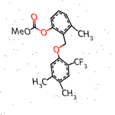 COC(=O)Oc1cccc(C)c1COc1cc(C)c(C)cc1C(F)(F)F